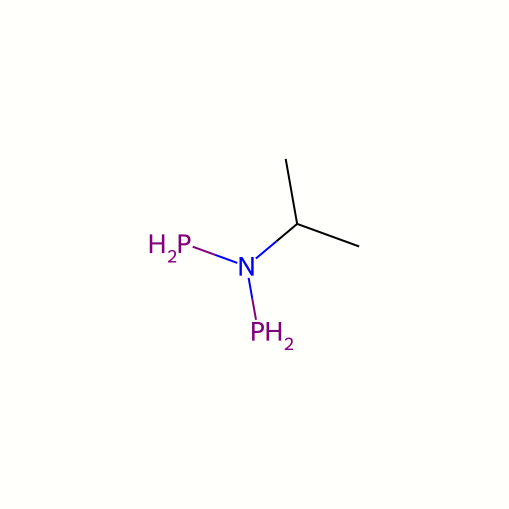 CC(C)N(P)P